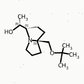 C[C@@H](O)[C@@H]1CC[C@]2(COC(C)(C)C)CCCN12